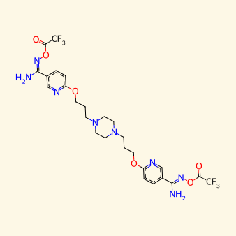 N/C(=N\OC(=O)C(F)(F)F)c1ccc(OCCCN2CCN(CCCOc3ccc(/C(N)=N\OC(=O)C(F)(F)F)cn3)CC2)nc1